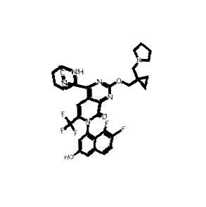 O=c1c2nc(OCC3(CN4CCCC4)CC3)nc(N3CC4CCC3CN4)c2cc(C(F)(F)F)n1-c1cc(O)cc2ccc(F)c(F)c12